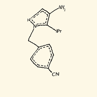 CC(C)c1c(N)cnn1Cc1ccc(C#N)cc1